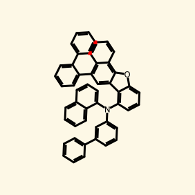 c1ccc(-c2cccc(N(c3cccc4ccccc34)c3cccc4oc5c6ccccc6c(-c6ccccc6-c6ccccc6)cc5c34)c2)cc1